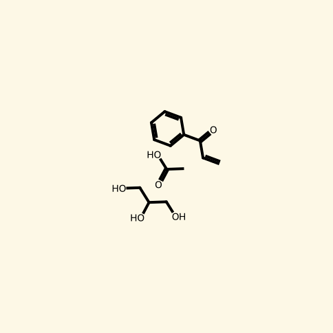 C=CC(=O)c1ccccc1.CC(=O)O.OCC(O)CO